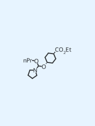 CCCOC(O[C@H]1CC[C@H](C(=O)OCC)CC1)N1CCCC1